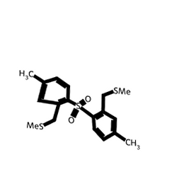 CSCc1cc(C)ccc1S(=O)(=O)c1ccc(C)cc1CSC